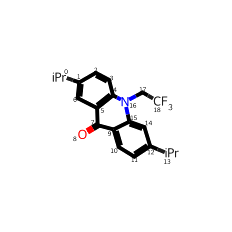 CC(C)c1ccc2c(c1)c(=O)c1ccc(C(C)C)cc1n2CC(F)(F)F